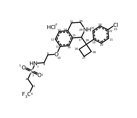 Cl.O=S(=O)(CCC(F)(F)F)NCCOc1ccc2c(c1)C(C1(c3ccc(Cl)cc3)CCC1)NCC2